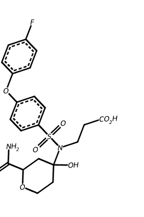 NC(=O)C1CC(O)(N(CCC(=O)O)S(=O)(=O)c2ccc(Oc3ccc(F)cc3)cc2)CCO1